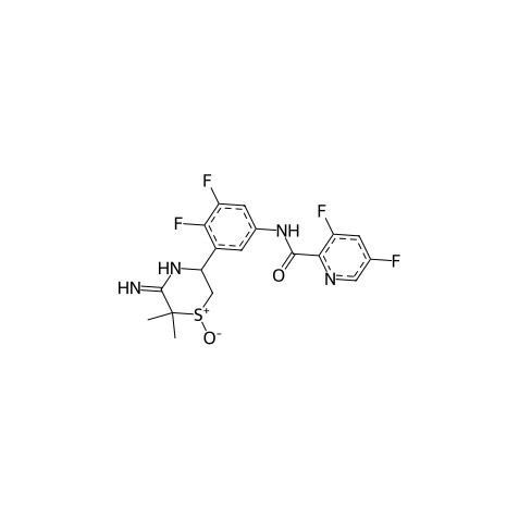 CC1(C)C(=N)NC(c2cc(NC(=O)c3ncc(F)cc3F)cc(F)c2F)C[S+]1[O-]